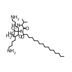 CCCCCCCCCCCCCCCC(=O)N(C(=O)C(N)C(C)C)C(CCCCN)(C(=O)O)C(=O)C(N)CCCCN